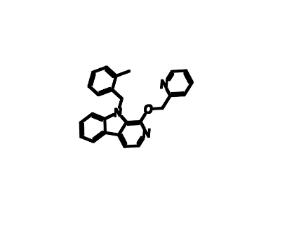 Cc1ccccc1Cn1c2ccccc2c2ccnc(OCc3ccccn3)c21